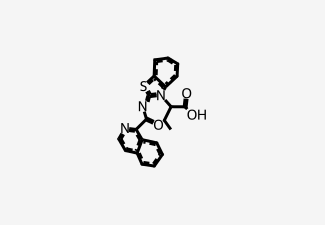 CCC(C(=O)O)n1/c(=N\C(=O)c2nccc3ccccc23)sc2ccccc21